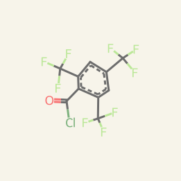 O=C(Cl)c1c(C(F)(F)F)cc(C(F)(F)F)cc1C(F)(F)F